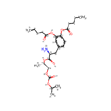 CCCCC(=O)Oc1ccc(C[C@H](N)C(=O)O[C@@H](C)COC(=O)OC(C)C)cc1OC(=O)CCCC